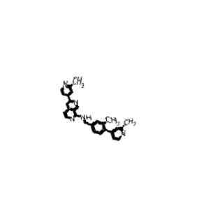 Cc1cc(-c2cc3ccnc(NCc4ccc(-c5ccnc(C)c5)c(C)c4)c3cn2)ccn1